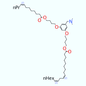 CCC/C=C\CCCCCCC(=O)OCCCCOc1cc(CN(C)C)cc(OCCCCOC(=O)CCCCCCC/C=C\C/C=C\CCCCCC)c1